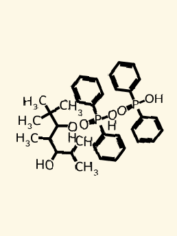 CC(C)C(O)C(C)C(O)C(C)(C)C.O=P(O)(c1ccccc1)c1ccccc1.O=P(O)(c1ccccc1)c1ccccc1